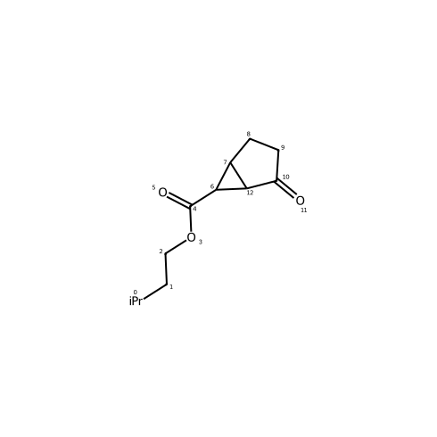 CC(C)CCOC(=O)C1C2CCC(=O)C21